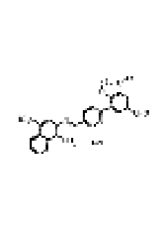 CCCCOc1c(OCC)cc(C=O)cc1-c1ccc(N=Nc2cc(S(=O)(=O)O)c3ccccc3c2N)cn1.[NaH]